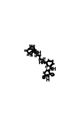 O=C1CCC(Nc2cccc(NCCCCNC34CC5CC(CC(C5)C3)C4)c2)C(=O)N1